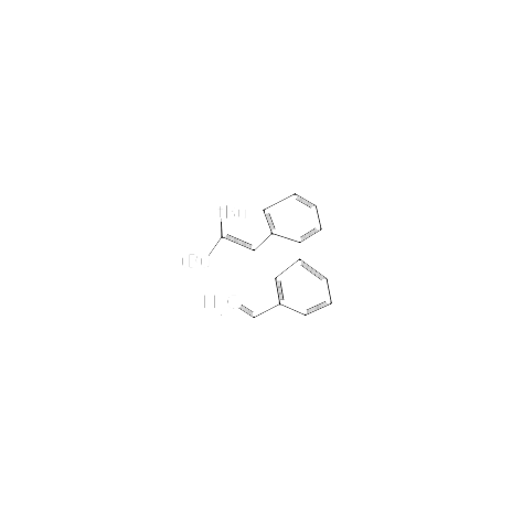 C=Cc1ccccc1.CC(C)(C)C(=Cc1ccccc1)C(C)(C)C